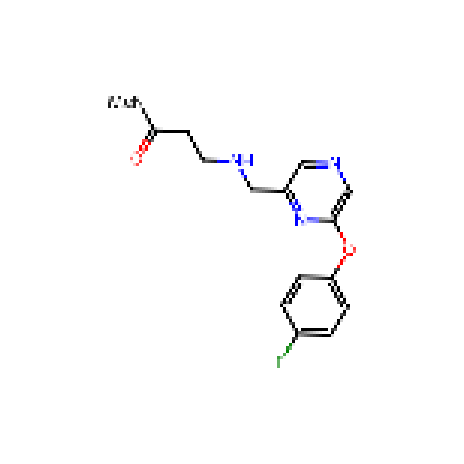 CNC(=O)CCNCc1cncc(Oc2ccc(F)cc2)n1